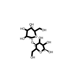 OCC1O[C@H](O[C@@H]2C(CO)O[C@H](O)C(O)C2O)C(O)C(O)[C@@H]1O